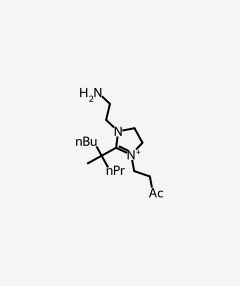 CCCCC(C)(CCC)C1=[N+](CCC(C)=O)CCN1CCN